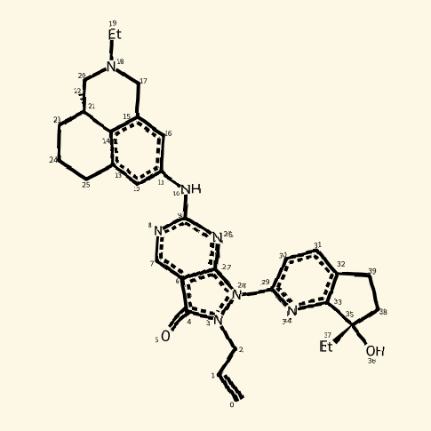 C=CCn1c(=O)c2cnc(Nc3cc4c5c(c3)CN(CC)C[C@]5(C)CCC4)nc2n1-c1ccc2c(n1)[C@](O)(CC)CC2